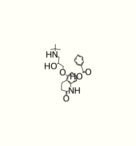 CC(C)(C)NCC(O)COc1cccc2c1CCC(=O)N2.O=C(O)c1ccccc1